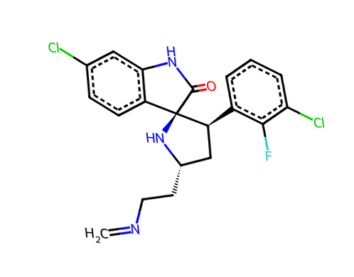 C=NCC[C@H]1C[C@H](c2cccc(Cl)c2F)[C@@]2(N1)C(=O)Nc1cc(Cl)ccc12